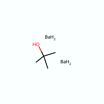 CC(C)(C)O.[BaH2].[BaH2]